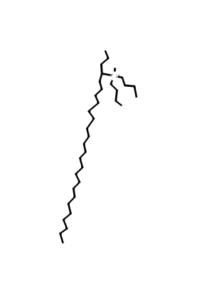 CCCCCCCCCCCCCCCCCCCCCCC(CCC)[N+](C)(CCCC)CCCC